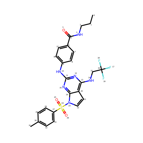 CCCNC(=O)c1ccc(Nc2nc(NCC(F)(F)F)c3ccn(S(=O)(=O)c4ccc(C)cc4)c3n2)cc1